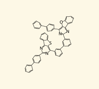 c1ccc(-c2ccc(-c3nc(-c4cccc(-c5cccc(-c6nc(-c7ccc(-c8ccccc8)cc7)c7oc8ccccc8c7n6)c5)c4)c4sc5ccccc5c4n3)cc2)cc1